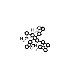 C[SiH2]c1ccccc1-c1ccc2c(-c3ccc4c(c3)C(C)(C)c3ccccc3-4)c3cc(-c4ccc5c(c4)C4(c6ccccc6-c6ccccc64)c4ccccc4-5)ccc3c(-c3ccc4c(c3)C(C)(C)c3ccccc3-4)c2c1